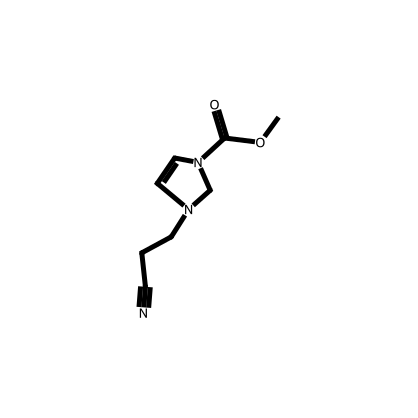 COC(=O)N1C=CN(CCC#N)C1